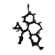 N#CC(=C1c2ccc(Br)cc2COc2cc(F)ccc21)C1CC1